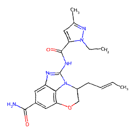 CC=CCC1COc2cc(C(N)=O)cc3nc(NC(=O)c4cc(C)nn4CC)n1c23